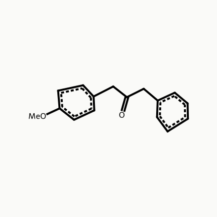 COc1ccc(CC(=O)Cc2ccccc2)cc1